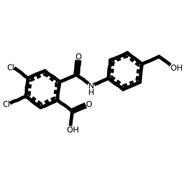 O=C(O)c1cc(Cl)c(Cl)cc1C(=O)Nc1ccc(CO)cc1